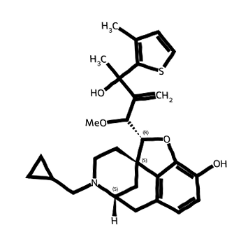 C=C(C(OC)[C@@H]1Oc2c(O)ccc3c2[C@@]12CCN(CC1CC1)[C@@H](C3)C2)C(C)(O)c1sccc1C